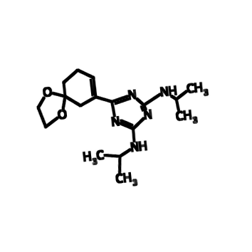 CC(C)Nc1nc(NC(C)C)nc(C2=CCCC3(C2)OCCO3)n1